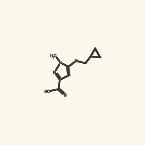 Cn1nc(C(=O)O)cc1OCC1CC1